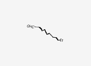 CC/C=C/CC/C=C/C=C/C=O